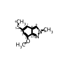 COc1cc(SC)cc2cn(C)nc12